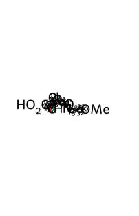 COc1ccc(C2CCC(NC(=O)c3ccc(Oc4cc5c(cc4Cl)C(C(=O)O)CCO5)cc3)C2)cc1